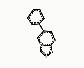 c1ccc(-c2cnc3nncn3c2)cc1